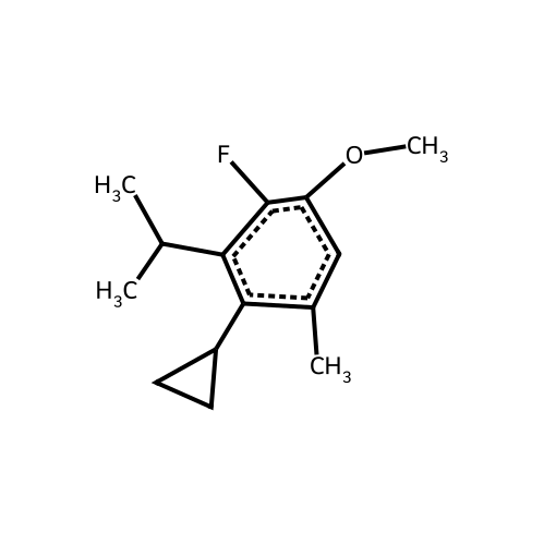 COc1cc(C)c(C2CC2)c(C(C)C)c1F